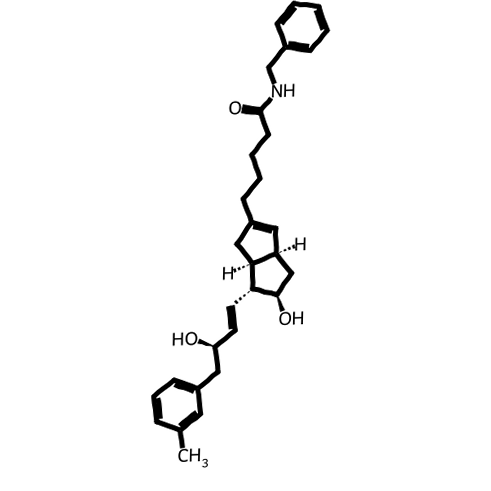 Cc1cccc(C[C@@H](O)/C=C/[C@@H]2[C@H]3CC(CCCCC(=O)NCc4ccccc4)=C[C@H]3C[C@H]2O)c1